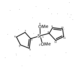 CO[Si](OC)(C1=CCCC1)C1C=CC=C1